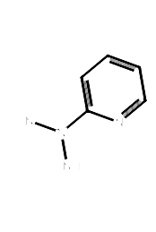 NN(c1ccccn1)[N+](=O)[O-]